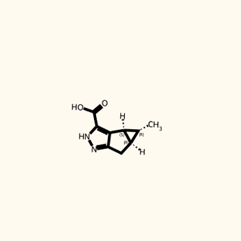 C[C@@H]1[C@H]2Cc3n[nH]c(C(=O)O)c3[C@@H]12